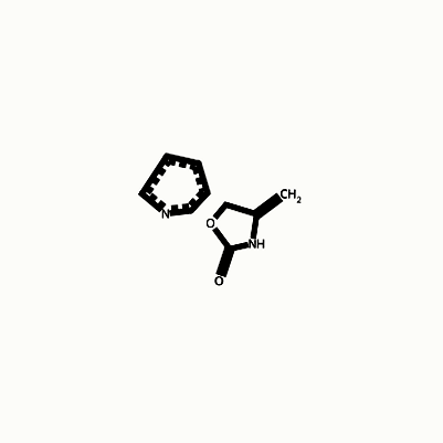 C=C1COC(=O)N1.c1ccncc1